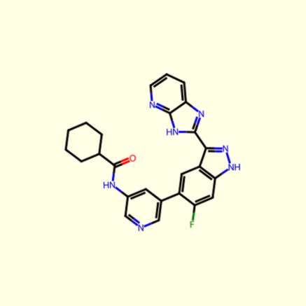 O=C(Nc1cncc(-c2cc3c(-c4nc5cccnc5[nH]4)n[nH]c3cc2F)c1)C1CCCCC1